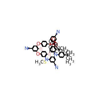 CSN1c2cc3c(cc2B2c4cc5c(cc4N(c4ccc(C(C)(C)C)cc4)c4cc(C#N)cc1c42)Oc1cc(C#N)cc2c1B5c1cc(C(C)(C)C)ccc1O2)B1c2cc(C(C)(C)C)ccc2Oc2cc(C#N)cc(c21)O3